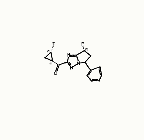 O=C(c1nc2n(n1)C(c1ccccc1)C[C@H]2F)[C@@H]1C[C@@H]1F